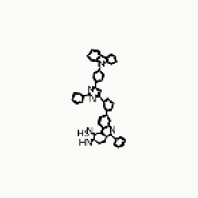 N=C1C=Cc2c(-c3ccccc3)nc3cc(-c4cccc(-c5cc(-c6ccc(-n7c8ccccc8c8ccccc87)cc6)nc(-c6ccccc6)n5)c4)ccc3c2/C1=N/S